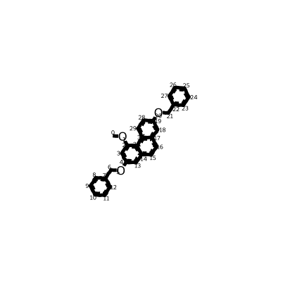 COc1cc(OCc2ccccc2)cc2ccc3cc(OCc4ccccc4)ccc3c12